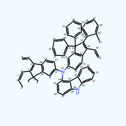 C=CC1=C(/C=C\C)C(C)(C)c2cc(N(c3ccc4c(c3)C(c3ccccc3)(c3ccccc3)C(c3ccccc3C)=C4C=C)c3cccc4[nH]c5ccccc5c34)ccc21